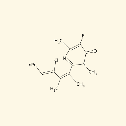 CCC/C=C(Cl)/C(C)=C(/C)c1nc(C)c(F)c(=O)n1C